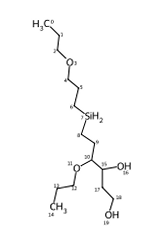 CCCOCCC[SiH2]CCC(OCCC)C(O)CCO